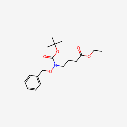 CCOC(=O)CCCN(OCc1ccccc1)C(=O)OC(C)(C)C